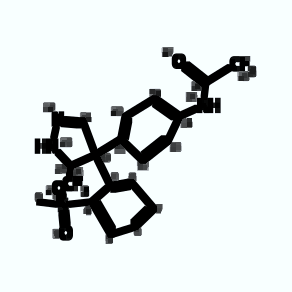 CS(=O)(=O)c1ccccc1C1(c2ccc(NC(=O)C(F)(F)F)cc2)C=NNC1C(F)(F)F